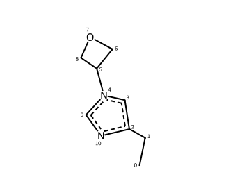 CCc1cn(C2COC2)cn1